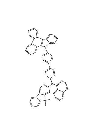 CC1(C)c2ccccc2-c2ccc(N(c3ccc(-c4ccc(-n5c6ccccc6c6c7ccccc7c7ccccc7c65)cc4)cc3)c3cccc4ccccc34)cc21